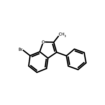 Cc1oc2c(Br)cccc2c1-c1ccccc1